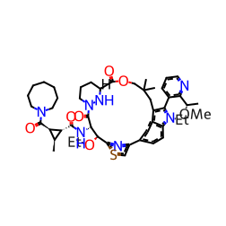 CCO[C@@H]1c2nc(cs2)-c2ccc3c(c2)c(c(-c2cccnc2[C@H](C)OC)n3CC)CC(C)(C)COC(=O)[C@@H]2CCCN(N2)C(=O)[C@H]1NC(=O)[C@@H]1[C@@H](C)[C@H]1C(=O)N1CCCCCCC1